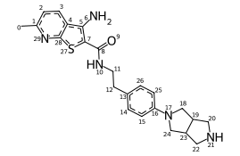 Cc1ccc2c(N)c(C(=O)NCCc3ccc(N4CC5CNCC5C4)cc3)sc2n1